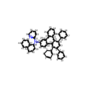 C1=CCCC(c2c(-c3ccccc3)cc(-c3ccccc3)c3c4ccccc4c4cc(N(c5ccccn5)c5cccc6ccccc56)ccc4c23)=C1